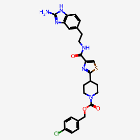 Nc1nc2cc(CCNC(=O)c3csc(C4CCN(C(=O)OCc5ccc(Cl)cc5)CC4)n3)ccc2[nH]1